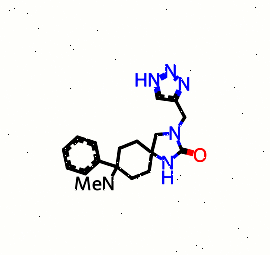 CNC1(c2ccccc2)CCC2(CC1)CN(Cc1c[nH]nn1)C(=O)N2